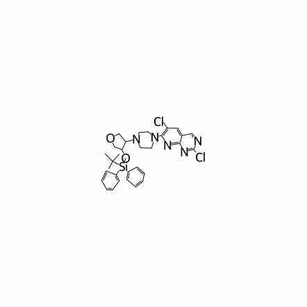 CC(C)(C)[Si](OC1COCC1N1CCN(c2nc3nc(Cl)ncc3cc2Cl)CC1)(c1ccccc1)c1ccccc1